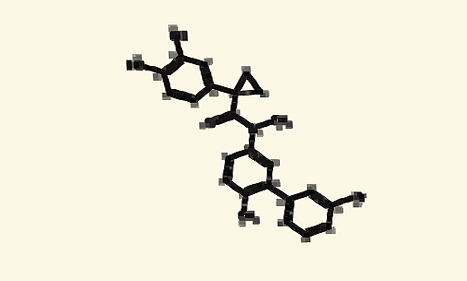 Cc1ccc(N(C)C(=O)C2(c3ccc(O)c(O)c3)CC2)cc1-c1cccc(C(C)C)c1